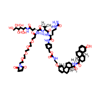 CC(C)[C@H](NC(=O)[C@@H](CCC(=O)NC[C@@H](O)[C@H](O)[C@@H](O)[C@@H](O)CO)NC(=O)CCOCCOCCOCCOCCN1C(=O)C=CC1=O)C(=O)N[C@@H](CCCNC(N)=O)C(=O)Nc1ccc(COC(=O)NCCOc2ccc3c(c2)[C@@]2(C)CCC[C@](C)(C(=O)NC(=O)[C@@]4(C)CCC[C@]5(C)c6cc(O)ccc6CC[C@@H]45)[C@@H]2CC3)cc1